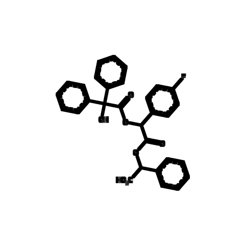 O=C(O)C(OC(=O)C(OC(=O)C(O)(c1ccccc1)c1ccccc1)c1ccc(F)cc1)c1ccccc1